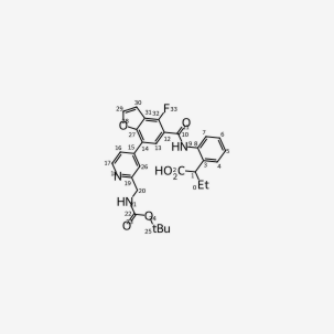 CCC(C(=O)O)c1ccccc1NC(=O)c1cc(-c2ccnc(CNC(=O)OC(C)(C)C)c2)c2occc2c1F